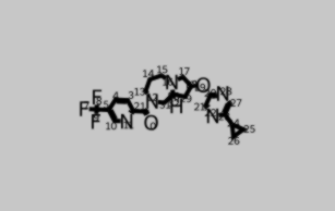 O=C(c1ccc(C(F)(F)F)cn1)N1CCCN2C[C@@H](Oc3cnc(C4CC4)cn3)C[C@@H]2C1